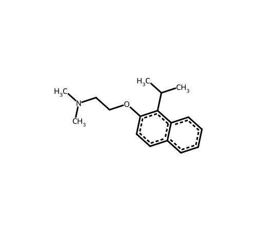 CC(C)c1c(OCCN(C)C)ccc2ccccc12